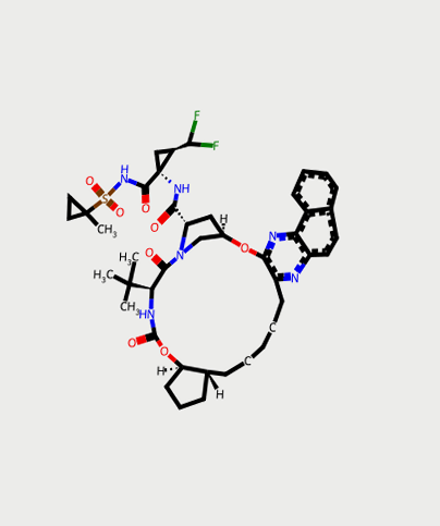 CC(C)(C)[C@@H]1NC(=O)O[C@@H]2CCC[C@H]2CCCCCc2nc3ccc4ccccc4c3nc2O[C@@H]2C[C@@H](C(=O)N[C@]3(C(=O)NS(=O)(=O)C4(C)CC4)C[C@H]3C(F)F)N(C2)C1=O